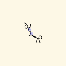 C=C/C(=C\C=C(/C)C#CC(=O)OC)OCC